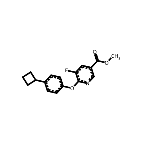 COC(=O)c1cnc(Oc2ccc(C3CCC3)cc2)c(F)c1